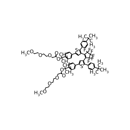 COCCOCCOCC(=O)OC(C)(C)c1ccc(-c2cc(C3=C(c4cc(-c5ccc(C(C)(C)OC(=O)COCCOCCOC)cc5)sc4-c4ccc(C(C)(C)C)cc4)C(F)(F)C(F)(F)C3(F)F)c(-c3ccc(C(C)(C)C)cc3)s2)cc1